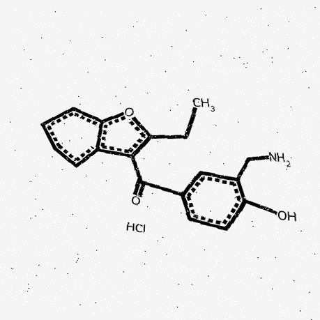 CCc1oc2ccccc2c1C(=O)c1ccc(O)c(CN)c1.Cl